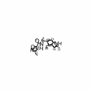 Cc1cc(C(=O)N[C@@H](C)c2ccc3[nH]c(C)cc3c2F)on1